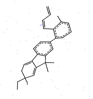 C=C/C=C\c1c(C)cccc1-c1ccc2c(c1)C(C)(C)C1=CC(I)(CC)CC=C12